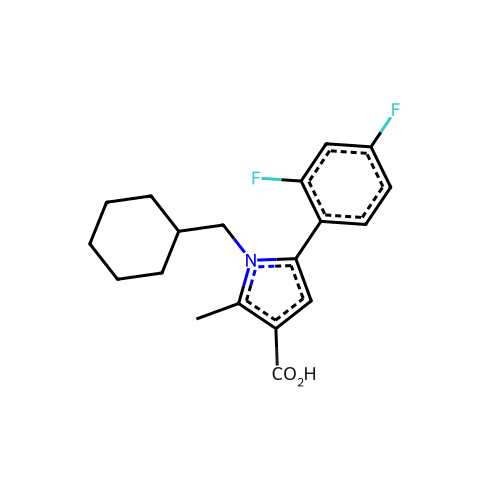 Cc1c(C(=O)O)cc(-c2ccc(F)cc2F)n1CC1CCCCC1